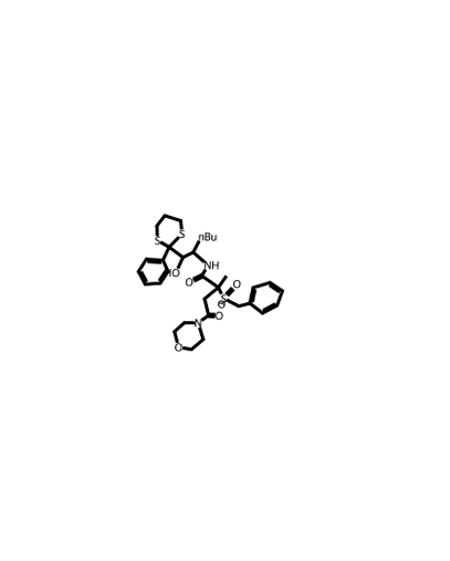 CCCCC(NC(=O)C(C)(CC(=O)N1CCOCC1)S(=O)(=O)Cc1ccccc1)C(O)C1(c2ccccc2)SCCCS1